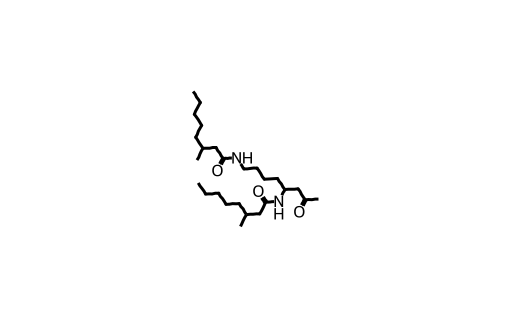 CCCCCC(C)CC(=O)NCCCCC(CC(C)=O)NC(=O)CC(C)CCCCC